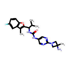 Cc1c(C(NC(=O)Nc2cnc(N3CC(C)(N)C3)nc2)C(C)C)oc2ccc(F)cc12